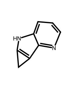 c1cnc2c3c([nH]c2c1)C3